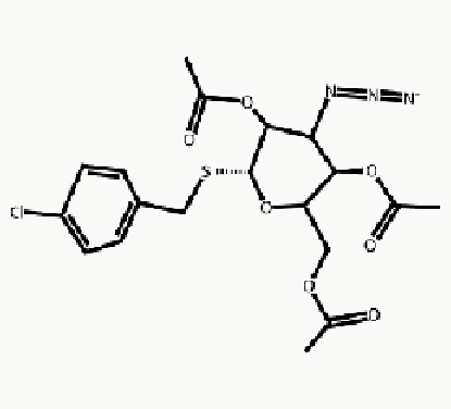 CC(=O)OCC1O[C@H](SCc2ccc(Cl)cc2)C(OC(C)=O)C(N=[N+]=[N-])[C@H]1OC(C)=O